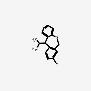 CC(C)C1c2ccc(Cl)cc2COc2ccccc21